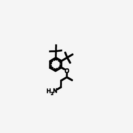 CC(CCN)Oc1cccc(C(C)(C)C)c1C(C)(C)C